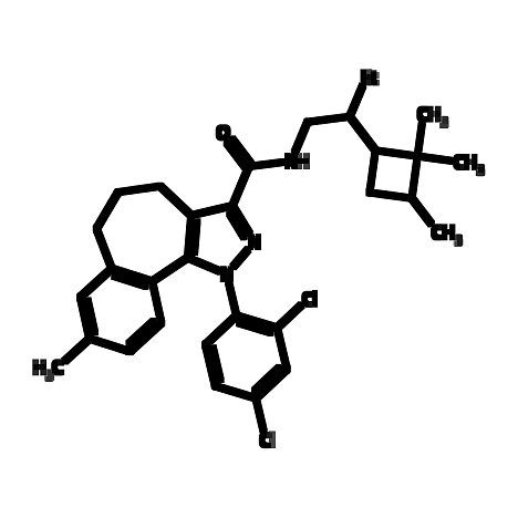 CCC(CNC(=O)c1nn(-c2ccc(Cl)cc2Cl)c2c1CCCc1cc(C)ccc1-2)C1CC(C)C1(C)C